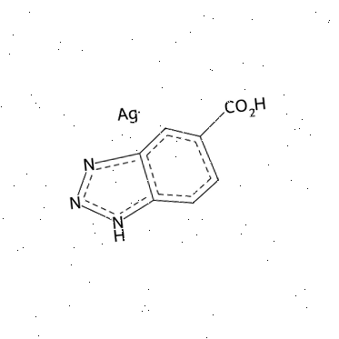 O=C(O)c1ccc2[nH]nnc2c1.[Ag]